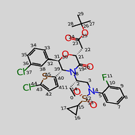 CC[C@@H](CN(c1ccccc1F)S(=O)(=O)C1CC1)N1C(=O)[C@@H](CC(=O)OC(C)(C)C)O[C@H](c2cccc(Cl)c2)[C@H]1c1ccc(Cl)s1